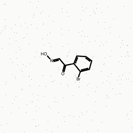 O=C(C=NO)c1ccccc1Br